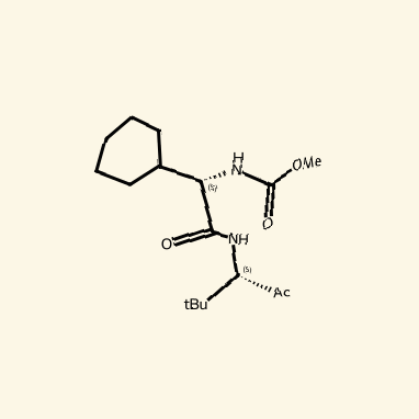 COC(=O)N[C@H](C(=O)N[C@H](C(C)=O)C(C)(C)C)C1CCCCC1